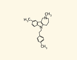 Cc1ccc(CCn2c3c(c4cc(C)ccc42)CN(C)CCC3)cc1